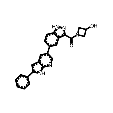 O=C(c1n[nH]c2ccc(-c3cnc4[nH]c(-c5ccccc5)cc4c3)cc12)N1CC(O)C1